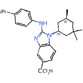 CC(C)c1ccc(Nc2nc3cc(C(=O)O)ccc3n2[C@H]2C[C@@H](C)CC(C)(C)C2)cc1